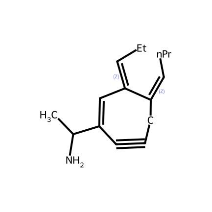 CC/C=C1/C=C(C(C)N)C#CC/C1=C/CCC